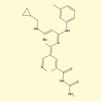 CC[C@@H](C)/C(=C\C(=N/C(C)=C(/C=N\C)\C=C(/C)C(=O)NC(N)=O)Nc1cccc(C)c1)NCC1CC1